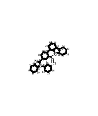 Cc1cc(-c2nc3ccccc3n2-c2ccccc2)ccc1-c1cccc2c3c(oc12)C=CCC3